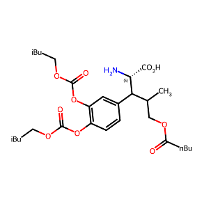 CCCCC(=O)OCC(C)C(c1ccc(OC(=O)OCC(C)CC)c(OC(=O)OCC(C)CC)c1)[C@H](N)C(=O)O